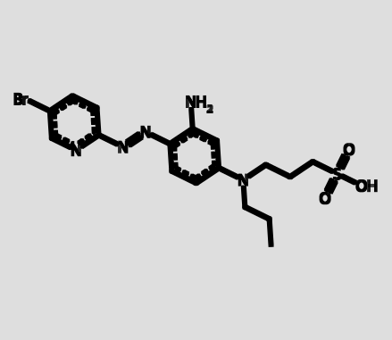 CCCN(CCCS(=O)(=O)O)c1ccc(N=Nc2ccc(Br)cn2)c(N)c1